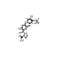 O=C(O)C1CCCN1C(=O)c1cc(Cl)c(Oc2ccc(OC(F)(F)F)c(Cl)c2)cc1F